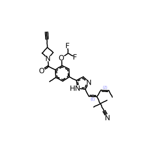 C#CC1CN(C(=O)c2c(C)cc(-c3cnc(/C=C(\C=C/C)C(C)(C)C#N)[nH]3)cc2OC(F)F)C1